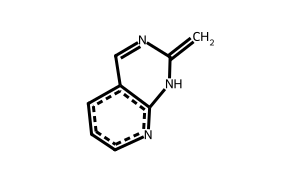 C=C1N=Cc2cccnc2N1